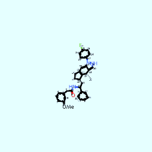 COc1cccc(CC(=O)NC(C[C@H]2CCC3=C2[C@@H](C)C2=CNN(c4ccc(F)cc4)C2=C3)c2ccccc2)c1